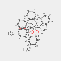 FC(F)(F)c1ccc([O][Zr](=[SiH2])([CH2]c2ccccc2)([CH2]c2ccccc2)([O]c2ccc(C(F)(F)F)cc2)[CH]2C=Cc3ccccc32)cc1